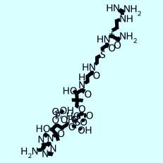 CC(C)(COP(=O)(O)OP(=O)(O)OCC1OC(C)(n2cnc3c(N)ncnc32)C(O)C1OP(=O)(O)O)C(O)C(=O)NCCC(=O)NCCSCC(=O)N[C@H](CCCNC(=N)N)C(N)=O